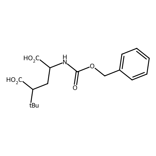 CC(C)(C)C(CC(NC(=O)OCc1ccccc1)C(=O)O)C(=O)O